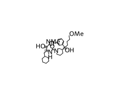 CNC[C@@H](O)[C@H](CC1CCCCC1)NC(=O)N1CCCC([C@@](O)(CCCCOC)c2cccc(Cl)c2)C1